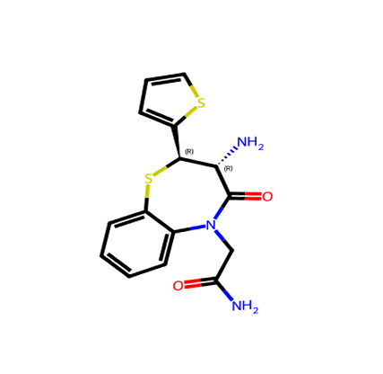 NC(=O)CN1C(=O)[C@@H](N)[C@H](c2cccs2)Sc2ccccc21